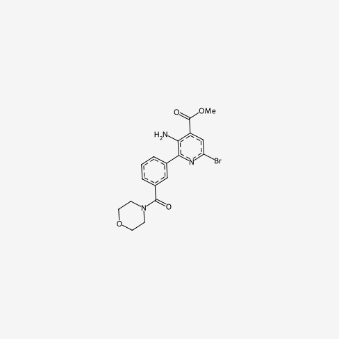 COC(=O)c1cc(Br)nc(-c2cccc(C(=O)N3CCOCC3)c2)c1N